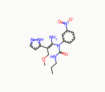 CCCNC(=O)N(/C(N)=C(\COC)c1ccn[nH]1)c1cccc([N+](=O)[O-])c1